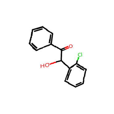 O=C(c1ccccc1)C(O)c1ccccc1Cl